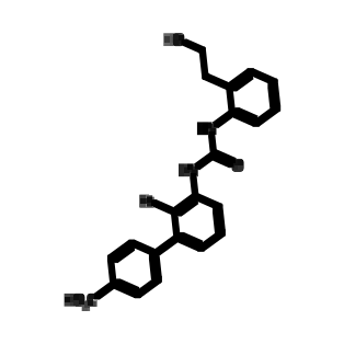 CCc1c(NC(=O)Nc2ccccc2CCO)cccc1-c1ccc(C(=O)O)cc1